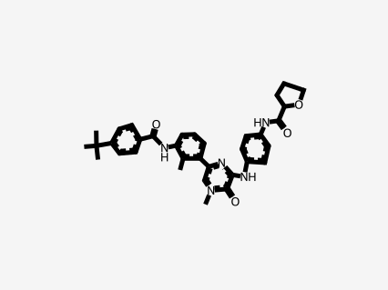 Cc1c(NC(=O)c2ccc(C(C)(C)C)cc2)cccc1-c1cn(C)c(=O)c(Nc2ccc(NC(=O)C3CCCO3)cc2)n1